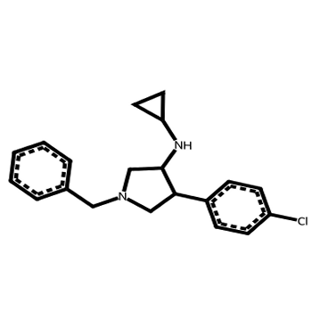 Clc1ccc(C2CN(Cc3ccccc3)CC2NC2CC2)cc1